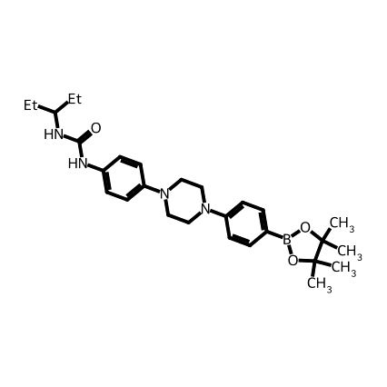 CCC(CC)NC(=O)Nc1ccc(N2CCN(c3ccc(B4OC(C)(C)C(C)(C)O4)cc3)CC2)cc1